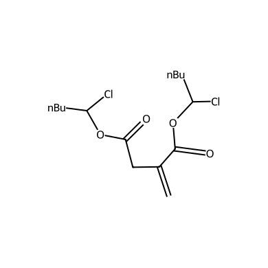 C=C(CC(=O)OC(Cl)CCCC)C(=O)OC(Cl)CCCC